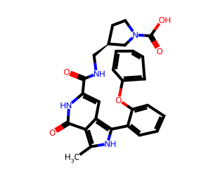 Cc1[nH]c(-c2ccccc2Oc2ccccc2)c2cc(C(=O)NC[C@H]3CCN(C(=O)O)C3)[nH]c(=O)c12